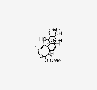 COC[C@H]1[C@@H](O)[C@@H]2O[C@@]34/C(C)=C/[C@@H](C)COC(=O)[C@H](COC)[C@H]3C=C[C@@H]2[C@H]4[C@@H]1O